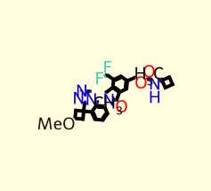 COC1CC(c2cccc(N3Cc4c(cc(COC(=O)NC5(C)CCC5)cc4C(F)F)C3=O)c2)(c2nncn2C)C1